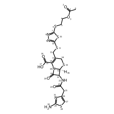 CC(=O)OCCSc1nnc(SCC2=C(C(=O)O)N3C(=O)C(NC(=O)Cc4csc(N)n4)[C@@H]3SC2)s1